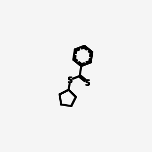 S=C(SC1CCCC1)c1ccccc1